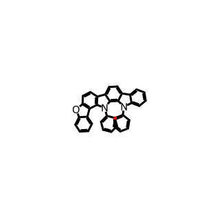 c1ccc(-n2c3ccccc3c3ccc4c5ccc6oc7ccccc7c6c5n(-c5ccccc5)c4c32)cc1